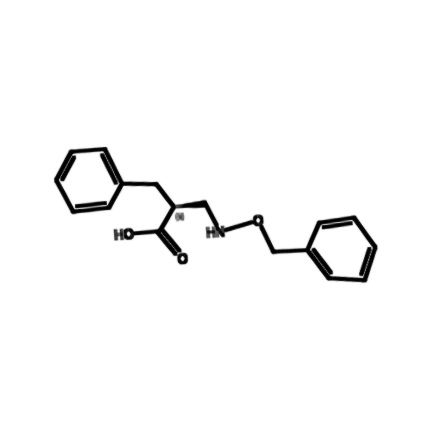 O=C(O)[C@H](CNOCc1ccccc1)Cc1ccccc1